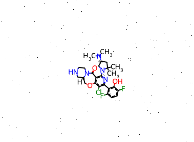 CN(C)[C@H]1CN(c2nc(-c3c(F)ccc(F)c3O)c(Cl)c3c2C(=O)N2CCNC[C@@H]2CO3)C(C)(C)C1